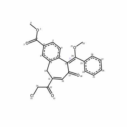 COC(=O)c1ccc2c(c1)CC(C(=O)CCl)=CC(=O)/C2=C(/OC)c1ccccc1